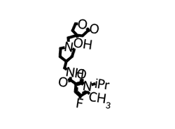 Cc1c(F)cc(C(=O)NCC2CCN(CC3(O)CCOC(=O)C3)CC2)c(=O)n1C(C)C